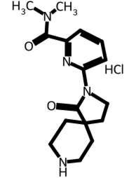 CN(C)C(=O)c1cccc(N2CCC3(CCNCC3)C2=O)n1.Cl